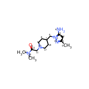 Cc1cc(N)n(CC2CCN(CC(=O)N(C)C)CC2)n1